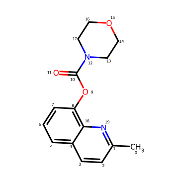 Cc1ccc2cccc(OC(=O)N3CCOCC3)c2n1